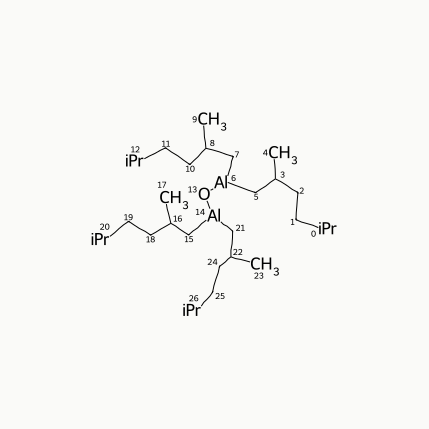 CC(C)CCC(C)[CH2][Al]([CH2]C(C)CCC(C)C)[O][Al]([CH2]C(C)CCC(C)C)[CH2]C(C)CCC(C)C